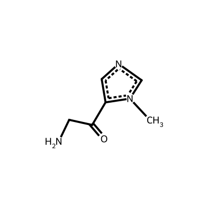 Cn1cncc1C(=O)CN